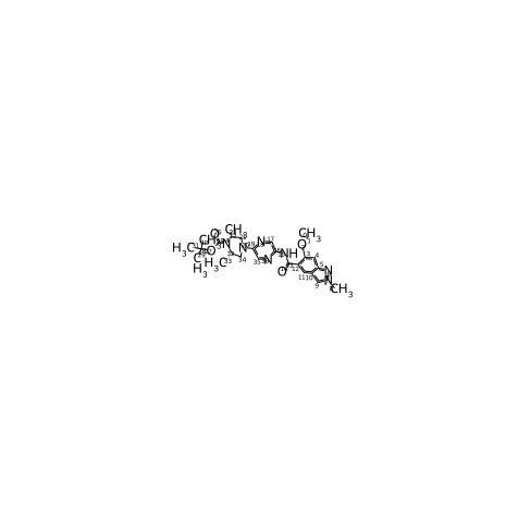 CCOc1cc2nn(C)cc2cc1C(=O)Nc1cnc(N2C[C@@H](C)N(C(=O)OC(C)(C)C)[C@@H](C)C2)cn1